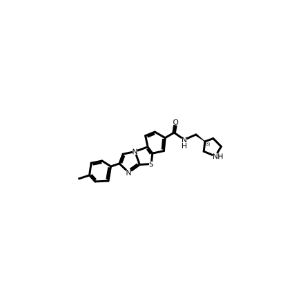 Cc1ccc(-c2cn3c(n2)sc2cc(C(=O)NC[C@H]4CCNC4)ccc23)cc1